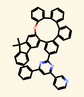 CC1(C)c2ccccc2-c2cc3c(cc21)Oc1ccccc1-c1ccccc1-c1ccccc1-c1ccc(-c2nc(-c4ccccc4)cc(-c4cccnc4)n2)cc1-3